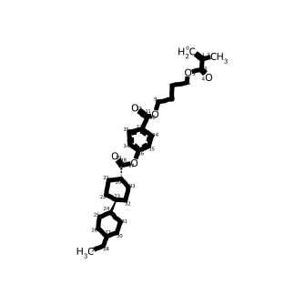 C=C(C)C(=O)OCCCCOC(=O)c1ccc(OC(=O)[C@H]2CC[C@H](C3CCC(CC)CC3)CC2)cc1